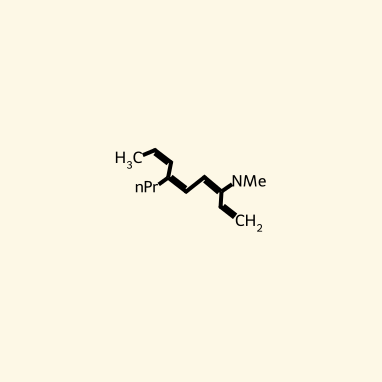 C=C\C(=C/C=C(\C=C/C)CCC)NC